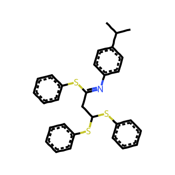 CC(C)c1ccc(N=C(CC(Sc2ccccc2)Sc2ccccc2)Sc2ccccc2)cc1